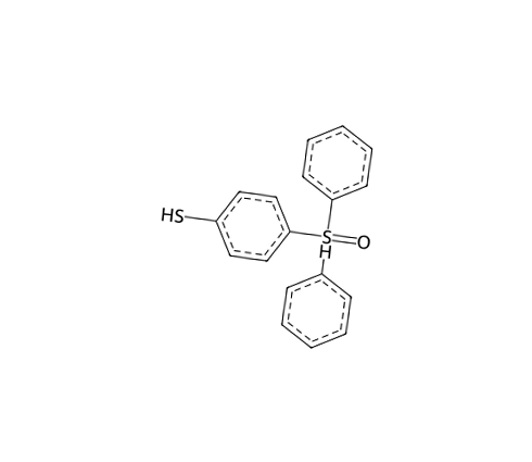 O=[SH](c1ccccc1)(c1ccccc1)c1ccc(S)cc1